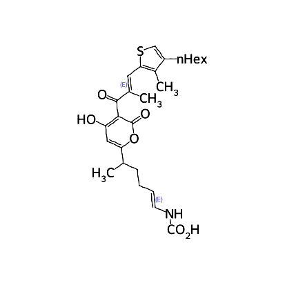 CCCCCCc1csc(/C=C(\C)C(=O)c2c(O)cc(C(C)CC/C=C/NC(=O)O)oc2=O)c1C